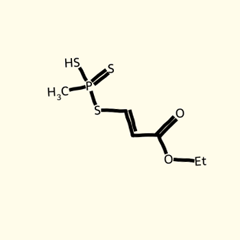 CCOC(=O)C=CSP(C)(=S)S